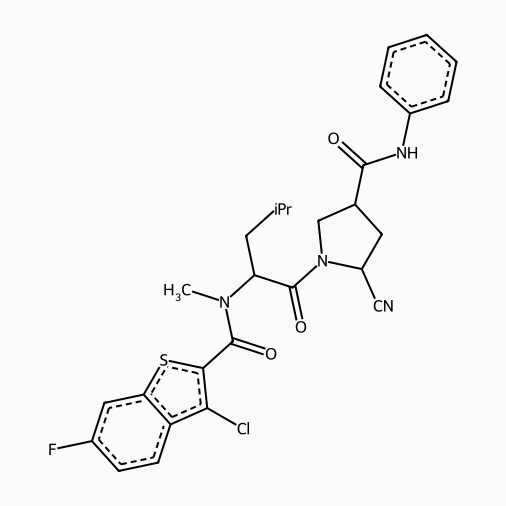 CC(C)CC(C(=O)N1CC(C(=O)Nc2ccccc2)CC1C#N)N(C)C(=O)c1sc2cc(F)ccc2c1Cl